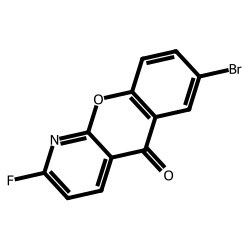 O=c1c2cc(Br)ccc2oc2nc(F)ccc12